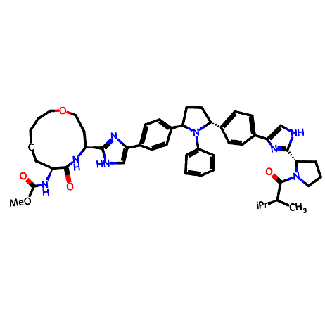 COC(=O)N[C@H]1CCCCCOCC[C@@H](c2nc(-c3ccc([C@H]4CC[C@H](c5ccc(-c6c[nH]c([C@@H]7CCCN7C(=O)[C@@H](C)C(C)C)n6)cc5)N4c4ccccc4)cc3)c[nH]2)NC1=O